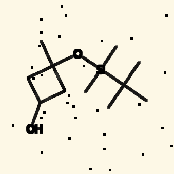 CC1(O[Si](C)(C)C(C)(C)C)CC(O)C1